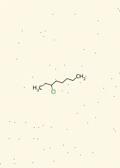 [CH2]CCCCC(Cl)CC